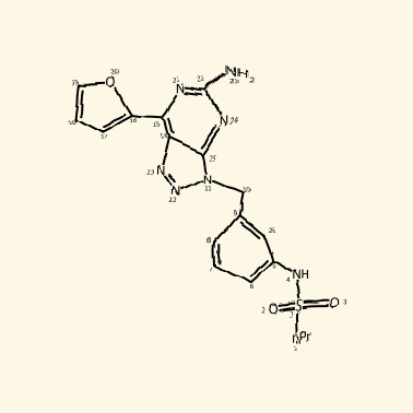 CCCS(=O)(=O)Nc1cccc(Cn2nnc3c(-c4ccco4)nc(N)nc32)c1